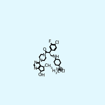 COC1CCC(NC[C@@H](C(=O)N2CCN(c3ncnc4c3[C@H](C)C[C@H]4O)CC2)c2ccc(Cl)c(F)c2)CC1.Cl.Cl